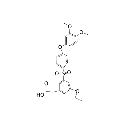 CCOc1cc(CC(=O)O)cc(S(=O)(=O)c2ccc(Oc3ccc(OC)c(OC)c3)cc2)c1